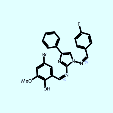 COc1cc(Br)cc(/C=N\c2nc(-c3ccccc3)cn2/N=C\c2ccc(F)cc2)c1O